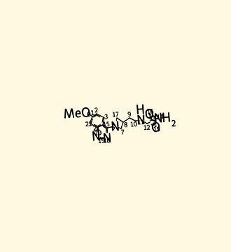 COc1ccc2c(N3CC(CCNCS(N)(=O)=O)C3)ncnc2c1